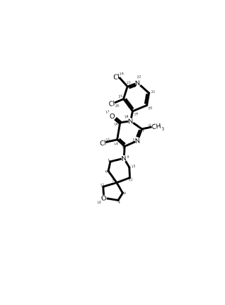 Cc1nc(N2CCC3(CCOC3)CC2)c(Cl)c(=O)n1-c1ccnc(Cl)c1Cl